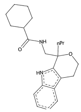 CCCC1(CNC(=O)C2CCCCC2)OCCc2c1[nH]c1ccccc21